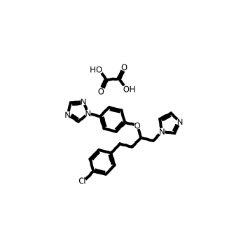 Clc1ccc(CCC(Cn2ccnc2)Oc2ccc(-n3cncn3)cc2)cc1.O=C(O)C(=O)O